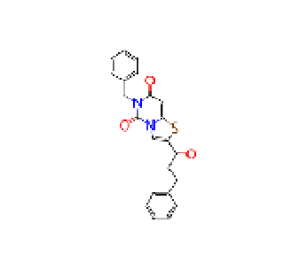 O=C(CCc1ccccc1)c1cn2c(=O)n(Cc3ccccc3)c(=O)cc2s1